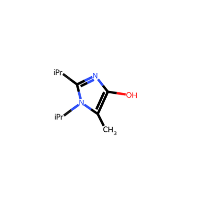 Cc1c(O)nc(C(C)C)n1C(C)C